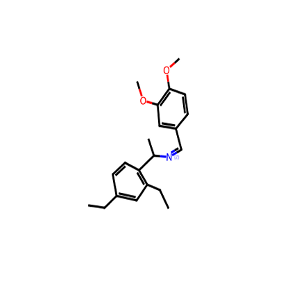 CCc1ccc(C(C)/N=C\c2ccc(OC)c(OC)c2)c(CC)c1